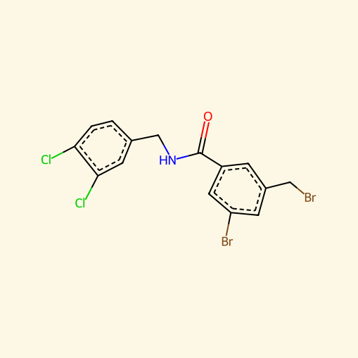 O=C(NCc1ccc(Cl)c(Cl)c1)c1cc(Br)cc(CBr)c1